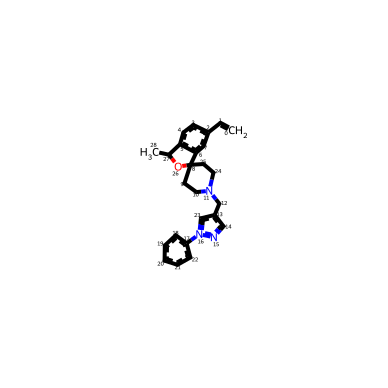 C=Cc1ccc2c(c1)C1(CCN(Cc3cnn(-c4ccccc4)c3)CC1)OC2C